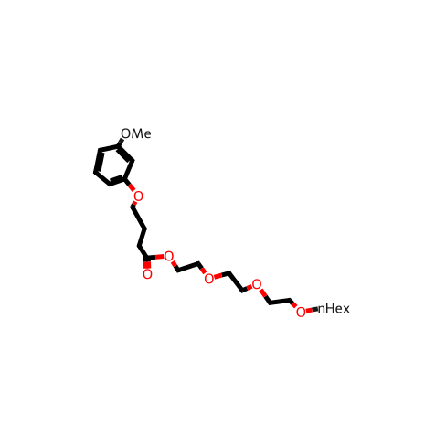 CCCCCCOCCOCCOCCOC(=O)CCCOc1cccc(OC)c1